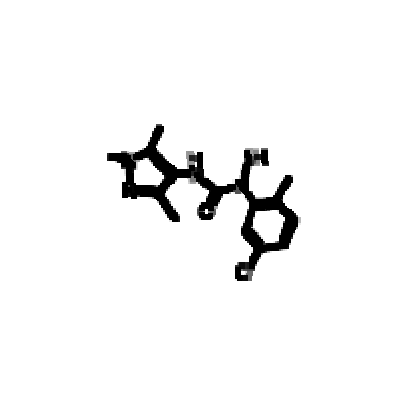 Cc1ccc(Cl)cc1N(S)C(=O)Nc1c(C)nn(C)c1C